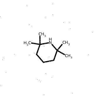 CC1(C)C[CH]CC(C)(C)N1